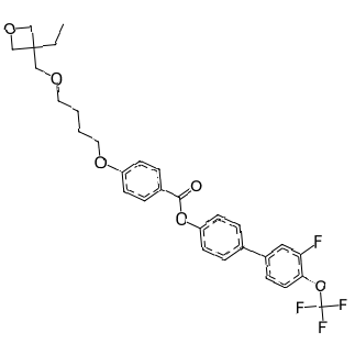 CCC1(COCCCCOc2ccc(C(=O)Oc3ccc(-c4ccc(OC(F)(F)F)c(F)c4)cc3)cc2)COC1